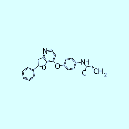 C=CC(=O)Nc1ccc(Oc2ccnc3c2OC(c2ccccc2)C3)cc1